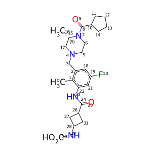 Cc1c(CN2CCN(C(=O)C3CCCC3)[C@@H](C)C2)cc(F)cc1NC(=O)C1CC(NC(=O)O)C1